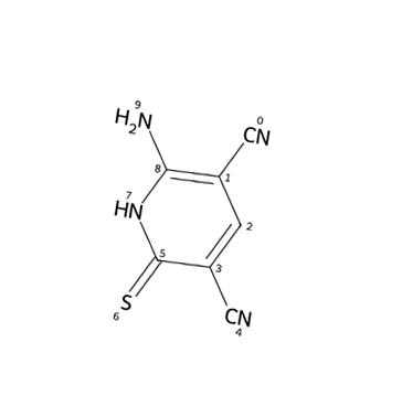 N#Cc1cc(C#N)c(=S)[nH]c1N